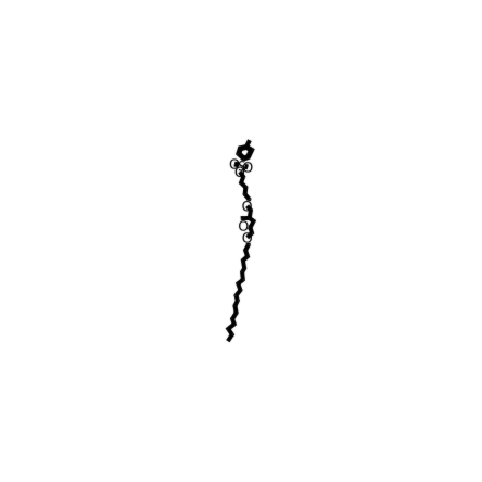 CCCCCCCCCCCCCCCCCCOCC1CC(COCCCCCOS(=O)(=O)c2ccc(C)cc2)CO1